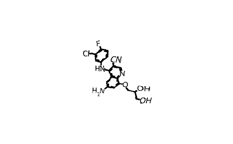 N#Cc1cnc2c(OCC(O)CO)cc(N)cc2c1Nc1ccc(F)c(Cl)c1